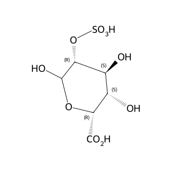 O=C(O)[C@@H]1OC(O)[C@H](OS(=O)(=O)O)[C@@H](O)[C@@H]1O